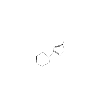 Cc1nc(C2CCOCC2)ns1